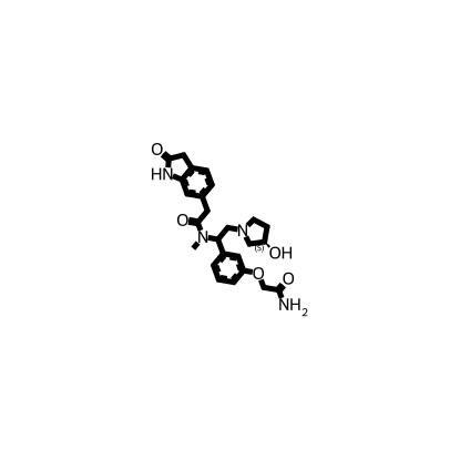 CN(C(=O)Cc1ccc2c(c1)NC(=O)C2)C(CN1CC[C@H](O)C1)c1cccc(OCC(N)=O)c1